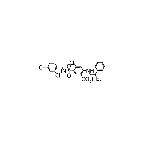 CCC(CNc1cc(Cl)c(S(=O)(=O)NCc2ccc(Cl)cc2Cl)cc1C(=O)O)c1ccccc1